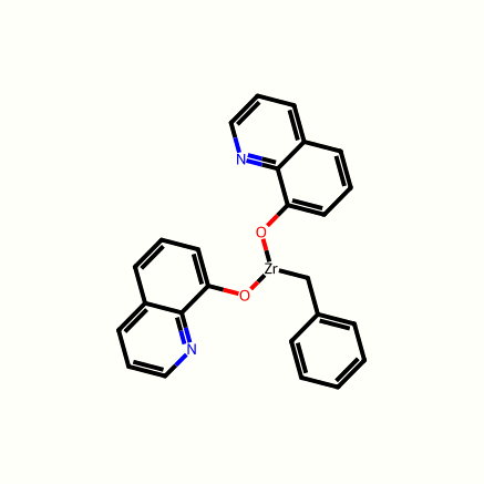 c1ccc([CH2][Zr]([O]c2cccc3cccnc23)[O]c2cccc3cccnc23)cc1